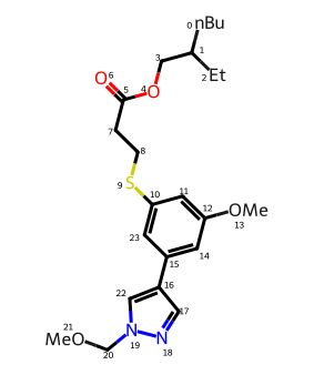 CCCCC(CC)COC(=O)CCSc1cc(OC)cc(-c2cnn(COC)c2)c1